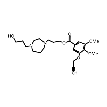 C#CCOc1cc(C(=O)OCCCN2CCCN(CCCO)CC2)cc(OC)c1OC